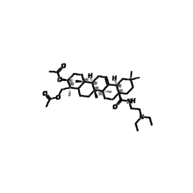 CCN(CC)CCNC(=O)[C@]12CCC(C)(C)C[C@@H]1C1=CC[C@@H]3[C@@]4(C)CC[C@H](OC(C)=O)[C@](C)(COC(C)=O)C4CC[C@@]3(C)[C@]1(C)CC2